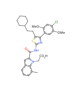 COc1cc(-c2nc(NC(=O)c3cc4cccc(C)c4n3CC(=O)O)sc2CCC2CCCCC2)c(OC)cc1Cl